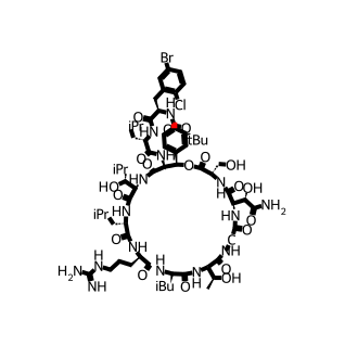 CC[C@H](C)C1NC(=O)[C@@H](CCCNC(=N)N)NC(=O)[C@H](CC(C)C)NC(=O)[C@H]([C@H](O)C(C)C)NC(=O)[C@@H](NC(=O)[C@H](CC(C)C)NC(=O)[C@@H](Cc2cc(Br)ccc2Cl)NC(=O)OC(C)(C)C)[C@@H](c2ccccc2)OC(=O)[C@H](CO)NC(=O)[C@H]([C@H](O)C(N)=O)NC(=O)CNC(=O)C([C@H](C)O)NC1=O